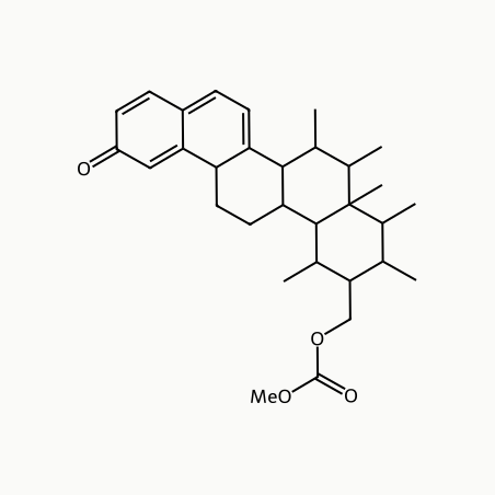 COC(=O)OCC1C(C)C(C)C2(C)C(C)C(C)C3C4=CC=C5C=CC(=O)C=C5C4CCC3C2C1C